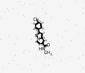 CNC(=O)c1ccn2nc(-c3ccc(Cl)cc3)cc2c1